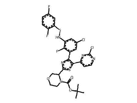 CC(C)(C)OC(=O)N1CCOCC1c1nc(-c2cc(Cl)cc(NSc3cc(F)ccc3F)c2F)c(-c2ccnc(Cl)n2)s1